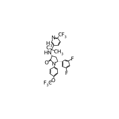 CC(C)(N[C@@H]1C[C@H](c2cc(F)cc(F)c2)N(c2ccc(OC(F)(F)F)cc2)C1=O)c1ccc(C(F)(F)F)nc1